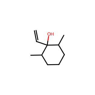 C=CC1(O)C(C)CCCC1C